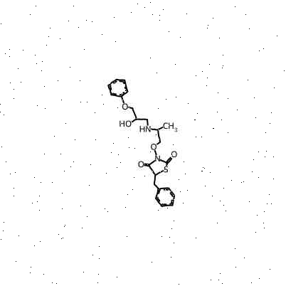 CC(CON1C(=O)SC(Cc2ccccc2)C1=O)NCC(O)COc1ccccc1